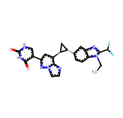 O=c1[nH]cc(-c2cc([C@H]3C[C@@H]3c3ccc4c(c3)nc(C(F)F)n4CC(F)(F)F)c3nccn3n2)c(=O)[nH]1